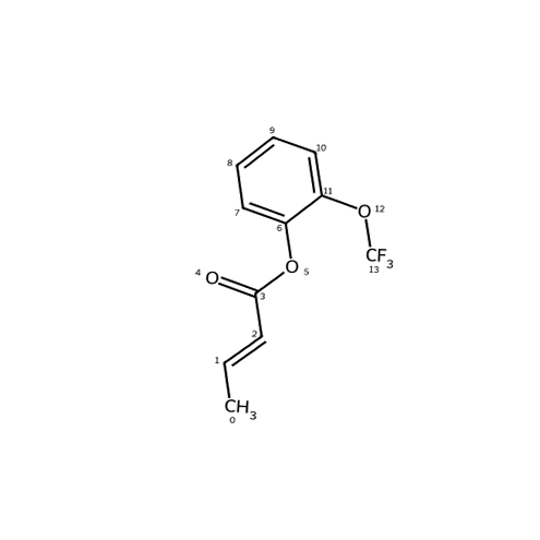 C/C=C/C(=O)Oc1ccccc1OC(F)(F)F